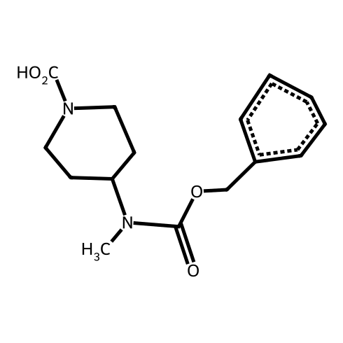 CN(C(=O)OCc1ccccc1)C1CCN(C(=O)O)CC1